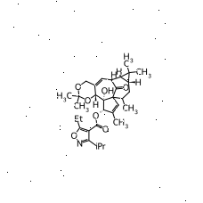 CCc1onc(C(C)C)c1C(=O)O[C@H]1C(C)=CC23C(=O)[C@@H](C=C4COC(C)(C)O[C@H]4[C@]12O)[C@H]1[C@@H](CC3C)C1(C)C